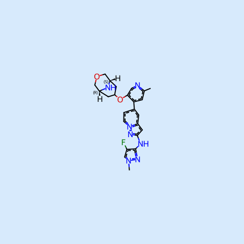 Cc1cc(-c2ccn3nc(Nc4nn(C)cc4F)cc3c2)c(OC2C[C@H]3COC[C@@H](C2)N3)cn1